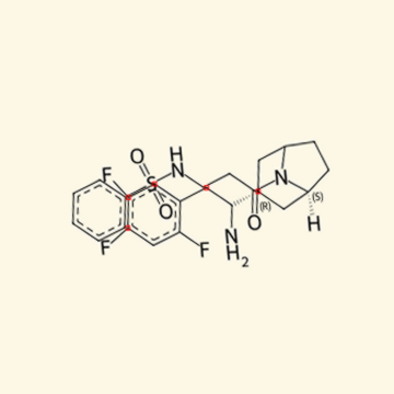 NC(Cc1cc(F)c(F)cc1F)[C@@H]1CC2CC[C@@H](C1)N2C(=O)CCNS(=O)(=O)c1ccccc1